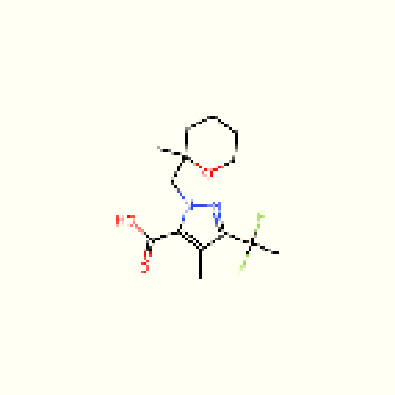 Cc1c(C(C)(F)F)nn(CC2(C)CCCCO2)c1C(=O)O